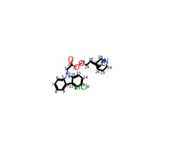 Cl.O=C(Cn1c2ccccc2c2ccccc21)OOCC=C1CN2CCC1CC2